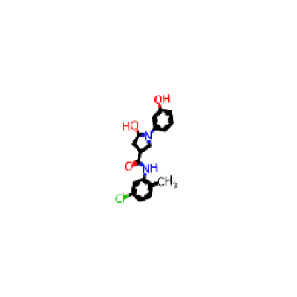 Cc1ccc(Cl)cc1NC(=O)C1CC(O)N(c2cccc(O)c2)C1